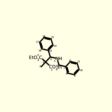 CCOC(=O)C(C)(C(=O)OCC)C(NCc1ccccc1)c1ccccc1